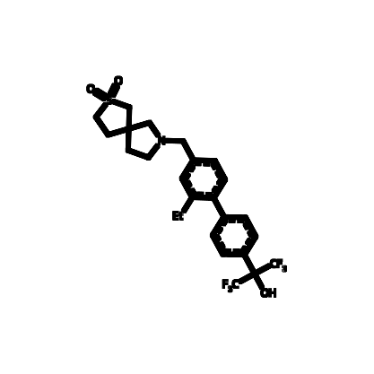 CCc1cc(CN2CCC3(CCS(=O)(=O)C3)C2)ccc1-c1ccc(C(O)(C(F)(F)F)C(F)(F)F)cc1